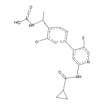 CC(NC(=O)O)c1ccc(-c2cc(NC(=O)C3CC3)ncc2F)cc1Cl